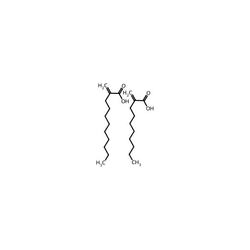 C=C(CCCCCCCC)C(=O)O.C=C(CCCCCCCCC)C(=O)O